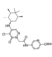 COc1ccc(NC(=O)Cn2ncc(N[C@@H]3C[C@H](C)C(C)(C)[C@H](C)[C@H]3C)c(Cl)c2=O)cn1